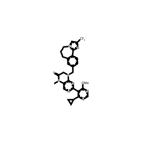 COc1ncnc(C2CC2)c1-c1ncc2c(n1)N(Cc1ccc3c(c1)CCCn1cc(C(F)(F)F)nc1-3)CC(=S)N2C